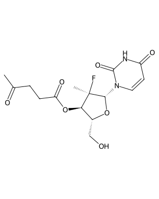 CC(=O)CCC(=O)O[C@@H]1[C@@H](CO)O[C@@H](n2ccc(=O)[nH]c2=O)[C@]1(C)F